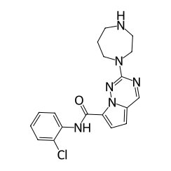 O=C(Nc1ccccc1Cl)c1ccc2cnc(N3CCCNCC3)nn12